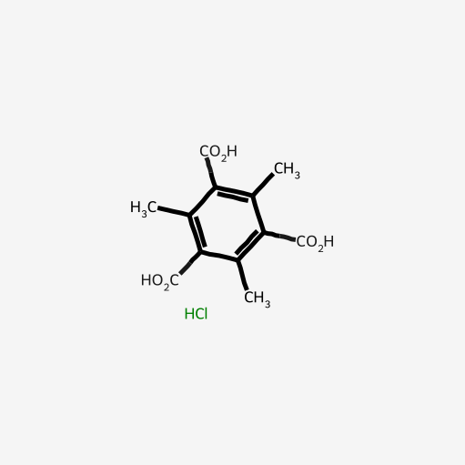 Cc1c(C(=O)O)c(C)c(C(=O)O)c(C)c1C(=O)O.Cl